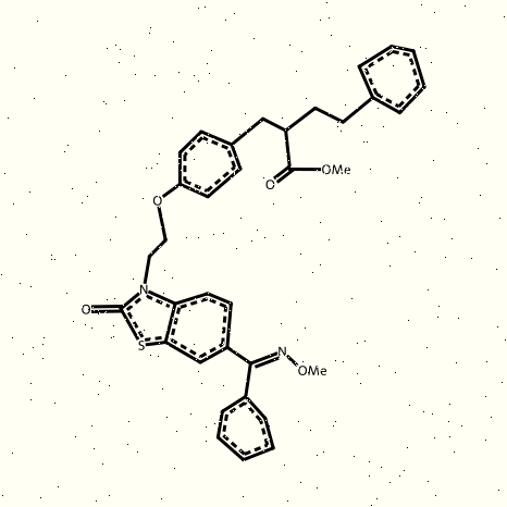 CON=C(c1ccccc1)c1ccc2c(c1)sc(=O)n2CCOc1ccc(CC(CCc2ccccc2)C(=O)OC)cc1